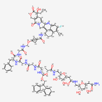 CC[C@@]1(O)C(=O)OCc2c1cc1n(c2=O)Cc2c-1nc1cc(F)c(C)c3c1c2[C@@H](NC(=O)C12CC(OCNC(=O)CNC(=O)[C@H](Cc4ccccc4)NC(=O)CNC(=O)CNC(=O)[C@H](CCC(=O)NC[C@H]4O[C@@H](CC(=O)NC[C@H]5O[C@@H](CC(N)=O)[C@H](O)[C@@H]5O)[C@H](O)[C@@H]4O)NC(=O)OCC4c5ccccc5-c5ccccc54)(C1)C2)CC3